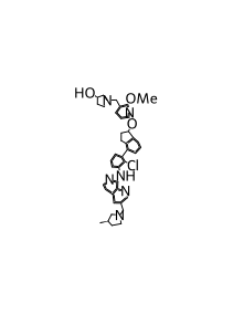 COc1nc(O[C@@H]2CCc3c(-c4cccc(Nc5nccc6cc(CN7CC[C@@H](C)C7)cnc56)c4Cl)cccc32)ccc1CN1CC[C@@H](O)C1